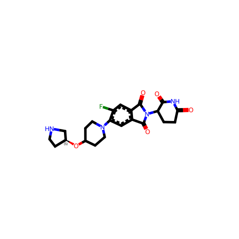 O=C1CCC(N2C(=O)c3cc(F)c(N4CCC(O[C@H]5CCNC5)CC4)cc3C2=O)C(=O)N1